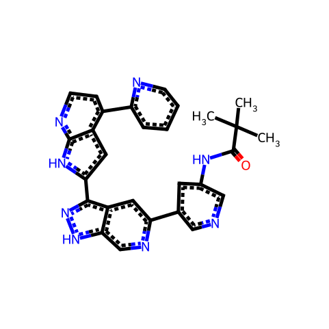 CC(C)(C)C(=O)Nc1cncc(-c2cc3c(-c4cc5c(-c6ccccn6)ccnc5[nH]4)n[nH]c3cn2)c1